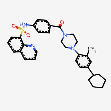 O=C(c1ccc(NS(=O)(=O)c2cccc3cccnc23)cc1)N1CCN(c2ccc(C3CCCCC3)cc2C(F)(F)F)CC1